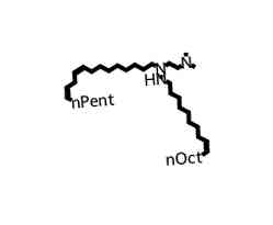 CCCCC/C=C\C/C=C\CCCCCCCCN(CCN(C)C)NCCCCCCCC/C=C\CCCCCCCC